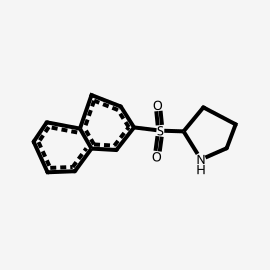 O=S(=O)(c1ccc2ccccc2c1)C1CCCN1